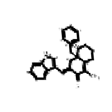 CC1=C2CCC[C@H](O)[C@@]2(Cc2ccccc2)C/C(=C\c2c[nH]c3ccccc23)C1=O